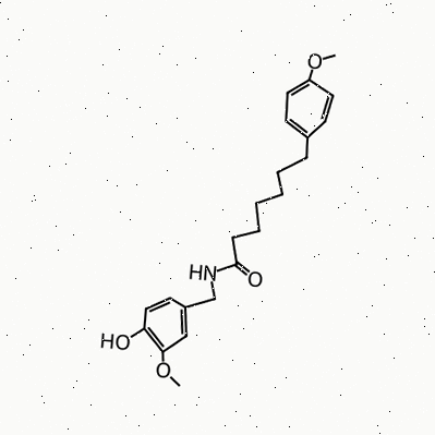 COc1ccc(CCCCCCC(=O)NCc2ccc(O)c(OC)c2)cc1